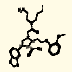 CCCCN(CCN)C(=O)CN1C[C@H](c2ccc3c(c2)OCO3)[C@@H](C(=O)O)[C@@H]1CCOc1ccccc1OC